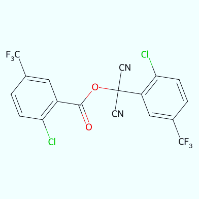 N#CC(C#N)(OC(=O)c1cc(C(F)(F)F)ccc1Cl)c1cc(C(F)(F)F)ccc1Cl